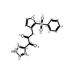 O=C(Cc1ccoc1S(=O)(=O)c1ccccc1)C(=O)c1nn[nH]n1